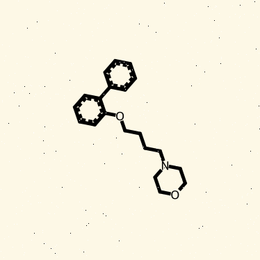 c1ccc(-c2ccccc2OCCCCN2CCOCC2)cc1